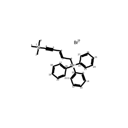 C[Si](C)(C)C#CC=CC[P+](c1ccccc1)(c1ccccc1)c1ccccc1.[Br-]